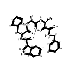 CC(C)[C@H](NC(=O)[C@H](C)NC(=O)[C@H](Cc1ccccc1)NC(=O)c1n[nH]c2ccccc12)C(=O)C(=O)NCc1ccccc1